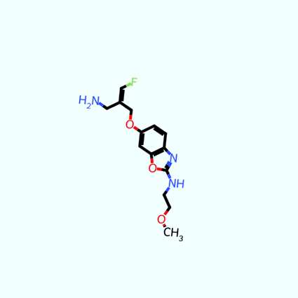 COCCNc1nc2ccc(OC/C(=C\F)CN)cc2o1